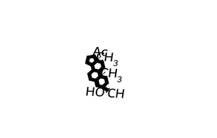 C#C[C@]1(O)C=C2CCC3C(CC[C@@]4(C)C3CC[C@@H]4C(C)=O)[C@@]2(C)CC1